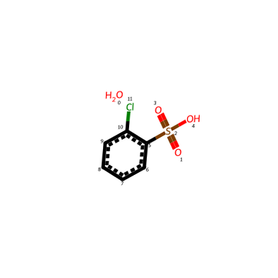 O.O=S(=O)(O)c1ccccc1Cl